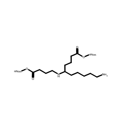 CCCCCCCCCOC(=O)CCCNC(CCCCCN)CCCC(=O)OCCCCCCCCC